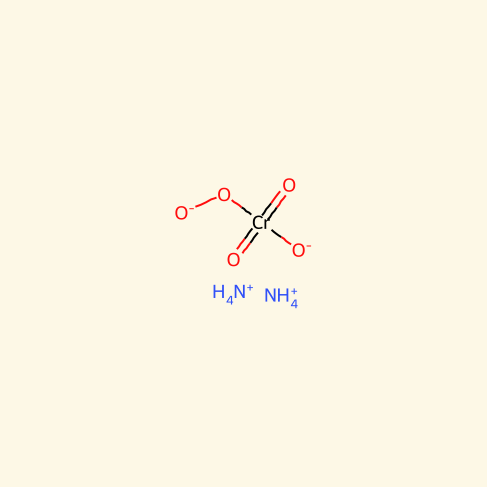 [NH4+].[NH4+].[O]=[Cr](=[O])([O-])[O][O-]